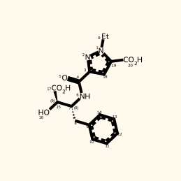 CCn1nc(C(=O)N[C@H](Cc2ccccc2)[C@@H](O)C(=O)O)cc1C(=O)O